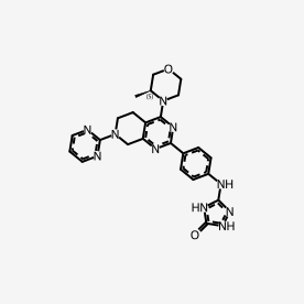 C[C@H]1COCCN1c1nc(-c2ccc(Nc3n[nH]c(=O)[nH]3)cc2)nc2c1CCN(c1ncccn1)C2